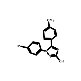 COc1ccc(-c2nc(O)nn2-c2ccc(S)cc2)cc1